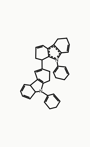 C1=CC2C3=C(CCC(C4CC=Cc5c6c(n(C7=CCCC=C7)c54)C=CCC6)=C3)N(C3=CCCC=C3)C2C=C1